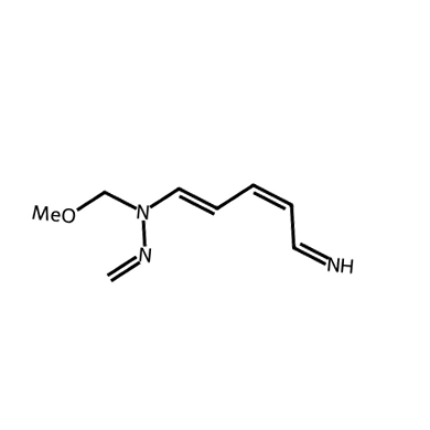 C=NN(/C=C/C=C\C=N)COC